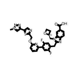 Cn1cc(-c2cnc(COc3cccc(-c4cc(F)c(Cc5nc6ccc(C(=O)O)cc6n5C[C@@H]5CCO5)cc4F)n3)s2)nn1